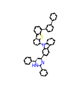 C1=C(c2ccc3c4ccccc4n(-c4cccc5c4sc4c(-c6cccc(-c7ccccc7)c6)cccc45)c3c2)N=C(c2ccccc2)NC1c1ccccc1